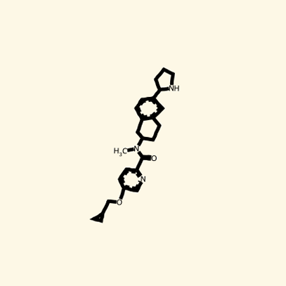 CN(C(=O)c1ccc(OCC2CC2)cn1)C1CCc2cc(C3CCCN3)ccc2C1